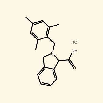 Cc1cc(C)c(CN2Cc3ccccc3C2C(=O)O)c(C)c1.Cl